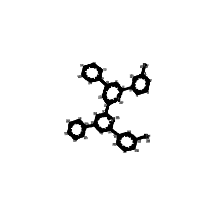 Brc1cccc(-c2cc(-c3ccccc3)cc(-c3cc(-c4ccccc4)cc(-c4cccc(Br)c4)n3)n2)c1